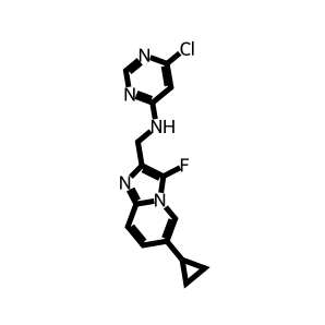 Fc1c(CNc2cc(Cl)ncn2)nc2ccc(C3CC3)cn12